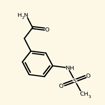 CS(=O)(=O)Nc1cccc(CC(N)=O)c1